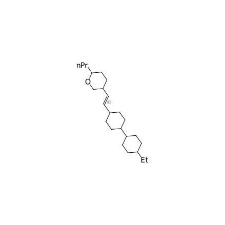 CCCC1CCC(/C=C/C2CCC(C3CCC(CC)CC3)CC2)CO1